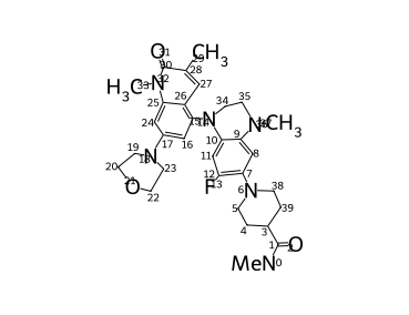 CNC(=O)C1CCN(c2cc3c(cc2F)N(c2cc(N4CCOCC4)cc4c2cc(C)c(=O)n4C)CCN3C)CC1